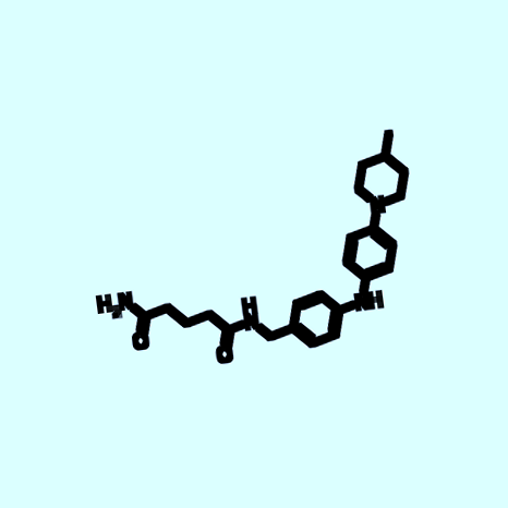 CC1CCN(c2ccc(Nc3ccc(CNC(=O)CCCC(N)=O)cc3)cc2)CC1